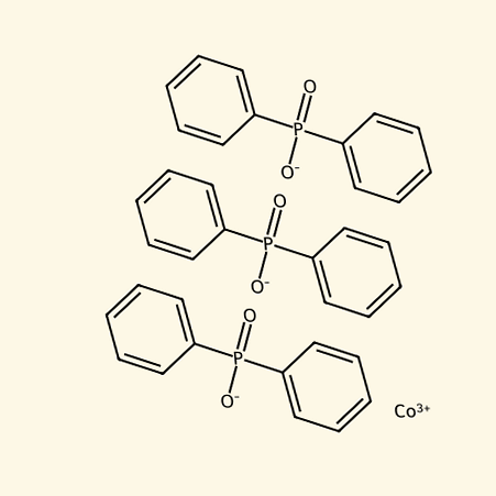 O=P([O-])(c1ccccc1)c1ccccc1.O=P([O-])(c1ccccc1)c1ccccc1.O=P([O-])(c1ccccc1)c1ccccc1.[Co+3]